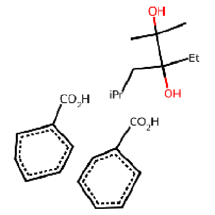 CCC(O)(CC(C)C)C(C)(C)O.O=C(O)c1ccccc1.O=C(O)c1ccccc1